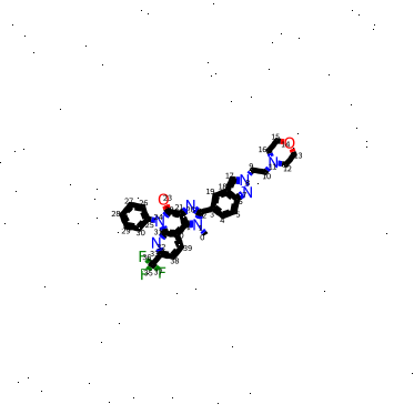 Cn1c(-c2ccc3nn(CCN4CCOCC4)cc3c2)nc2c(=O)n(-c3ccccc3)c3nc(C(F)(F)F)ccc3c21